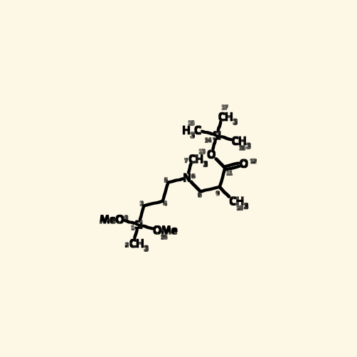 CO[Si](C)(CCCN(C)CC(C)C(=O)O[Si](C)(C)C)OC